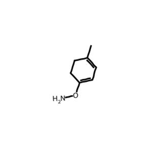 CC1=CC=C(ON)CC1